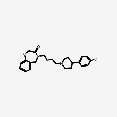 O=C1COc2ccccc2CN1CCCCN1CCC(c2ccc(Cl)cc2)CC1